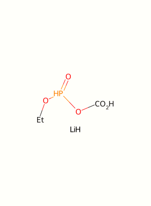 CCO[PH](=O)OC(=O)O.[LiH]